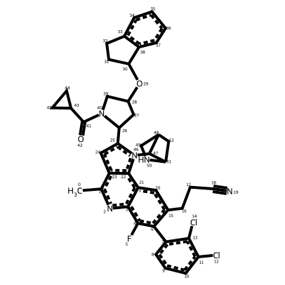 Cc1nc2c(F)c(-c3cccc(Cl)c3Cl)c(CCC#N)cc2c2c1cc(C1CC(OC3CCc4ccccc43)CN1C(=O)C1CC1)n2C1C2CNC1C2